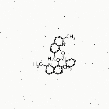 Cc1ccc2ccc(C)c([O][Zr]([O]c3c(C)ccc4ccc(C)nc34)[c]3ccccc3)c2n1